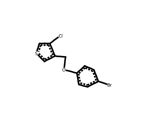 Clc1cscc1COc1ccc(Br)cc1